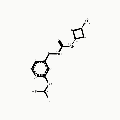 O=C(NCc1ccnc(OC(F)F)c1)N[C@H]1C[C@H](C(F)(F)F)C1